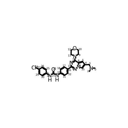 CN(C)Cc1cc2c(N3CCOCC3)nc(-c3ccc(NC(=O)Nc4ccc(Cl)cc4)cc3)nn2c1